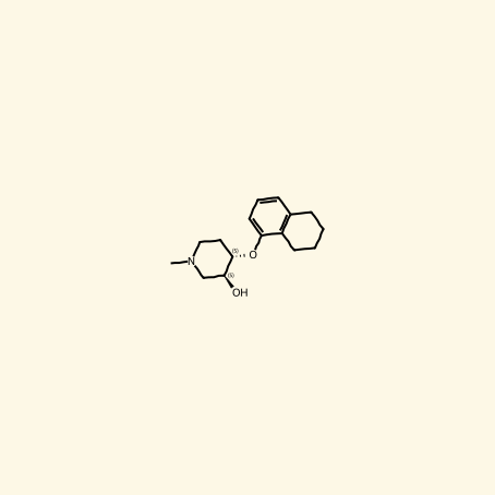 CN1CC[C@H](Oc2cccc3c2CCCC3)[C@@H](O)C1